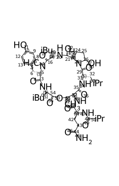 CC[C@H](C)[C@@H]1NC(=O)[C@H](Cc2ccc(O)cc2)N(C)C(=O)[C@H]([C@@H](C)CC)NC(=O)[C@@H]2CCC(O)N2C(=O)[C@H](CC(C)C)NC(=O)[C@@H](NC(=O)[C@H](CCC(N)=O)NC(=O)C(C)C)[C@@H](C)OC1=O